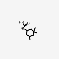 CC1CC(NC([NH])=O)CC(C)(C)C1